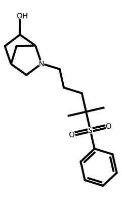 CC(C)(CCCN1CC2CC(O)C1C2)S(=O)(=O)c1ccccc1